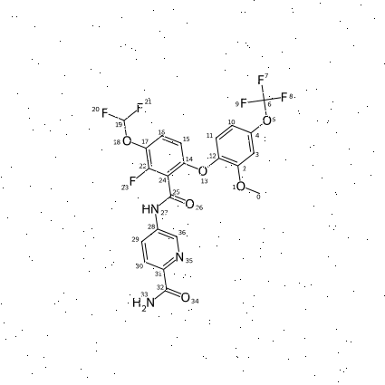 COc1cc(OC(F)(F)F)ccc1Oc1ccc(OC(F)F)c(F)c1C(=O)Nc1ccc(C(N)=O)nc1